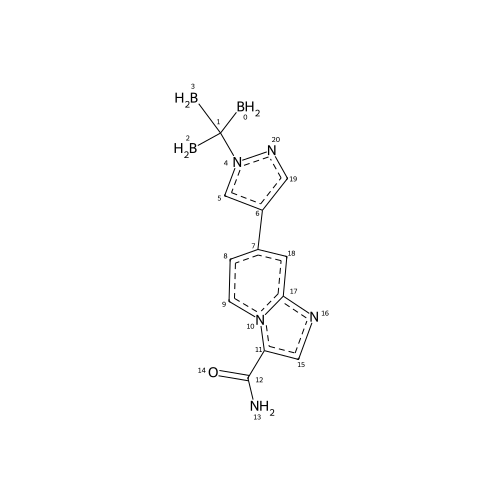 BC(B)(B)n1cc(-c2ccn3c(C(N)=O)cnc3c2)cn1